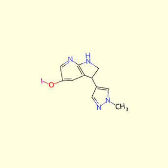 Cn1cc(C2CNc3ncc(OI)cc32)cn1